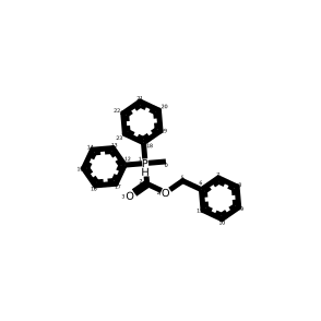 C[PH](C(=O)OCc1ccccc1)(c1ccccc1)c1ccccc1